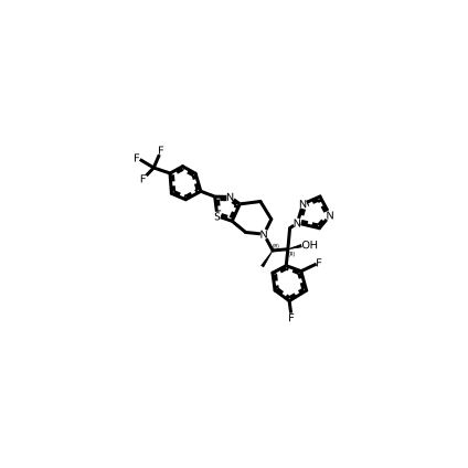 C[C@@H](N1CCc2nc(-c3ccc(C(F)(F)F)cc3)sc2C1)[C@](O)(Cn1cncn1)c1ccc(F)cc1F